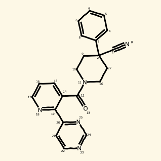 N#CC1(c2ccccc2)CCN(C(=O)c2cccnc2-c2ccncn2)CC1